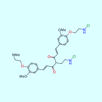 CNCCOc1ccc(/C=C/C(=O)C(CCNCl)C(=O)/C=C/c2ccc(OCCNCl)c(OC)c2)cc1OC